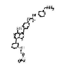 NCc1cccc(NC(=O)Nc2ccc(-c3csc4c(-c5cccc(NCO[SH](=O)=O)c5)cnc(N)c34)cc2)c1